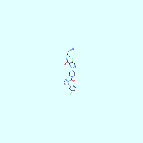 N#CCC1CN(C(=O)c2nc(N3CCN(C(=O)N4N=CCC4c4cc(F)cc(F)c4)CC3)ncc2F)C1